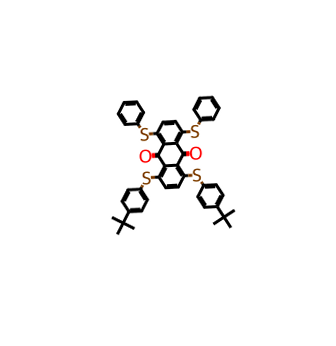 CC(C)(C)c1ccc(Sc2ccc(Sc3ccc(C(C)(C)C)cc3)c3c2C(=O)c2c(Sc4ccccc4)ccc(Sc4ccccc4)c2C3=O)cc1